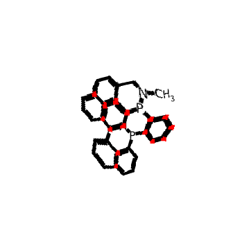 CN(Cc1ccccc1CN(P(c1ccccc1)c1ccccc1)P(c1ccccc1)c1ccccc1)P(c1ccccc1)c1ccccc1